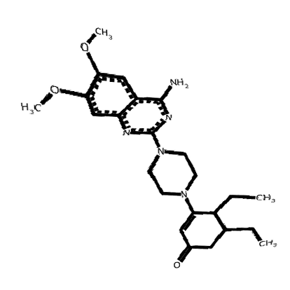 CCC1CC(=O)C=C(N2CCN(c3nc(N)c4cc(OC)c(OC)cc4n3)CC2)C1CC